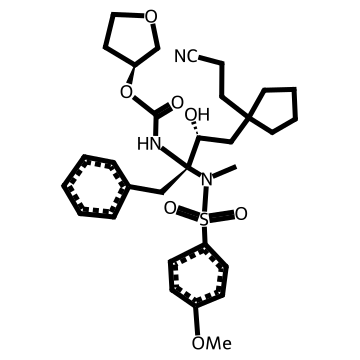 COc1ccc(S(=O)(=O)N(C)[C@](Cc2ccccc2)(NC(=O)O[C@H]2CCOC2)[C@H](O)CC2(CCC#N)CCCC2)cc1